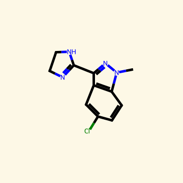 Cn1nc(C2=NCCN2)c2cc(Cl)ccc21